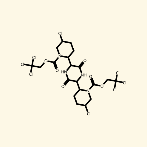 O=C1NC(C2CCC(Cl)CN2C(=O)OCC(Cl)(Cl)Cl)C(=O)NC1C1CCC(Cl)CN1C(=O)OCC(Cl)(Cl)Cl